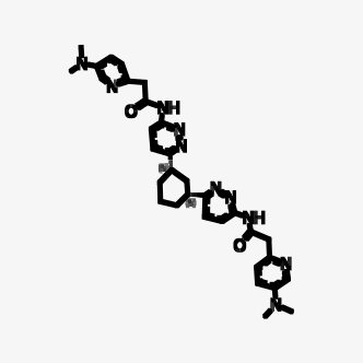 CN(C)c1ccc(CC(=O)Nc2ccc([C@H]3CCC[C@H](c4ccc(NC(=O)Cc5ccc(N(C)C)cn5)nn4)C3)nn2)nc1